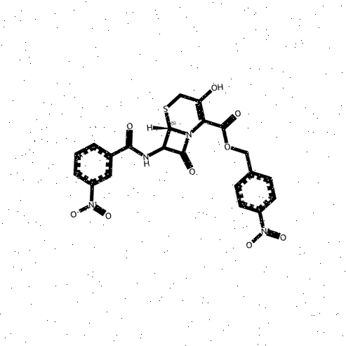 O=C(OCc1ccc([N+](=O)[O-])cc1)C1=C(O)CS[C@H]2C(NC(=O)c3cccc([N+](=O)[O-])c3)C(=O)N12